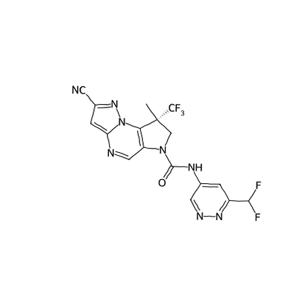 C[C@@]1(C(F)(F)F)CN(C(=O)Nc2cnnc(C(F)F)c2)c2cnc3cc(C#N)nn3c21